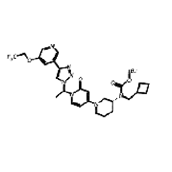 CC(n1cc(-c2cncc(OCC(F)(F)F)c2)nn1)n1ccc(N2CCC[C@@H](N(CC3CCC3)C(=O)OC(C)(C)C)C2)cc1=O